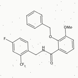 COc1cccc(C(=O)NCc2ccc(F)cc2C(F)(F)F)c1OCc1ccccc1